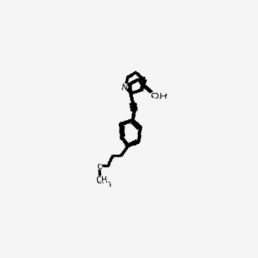 COCCCc1ccc(C#CC2C(O)C3CCN2CC3)cc1